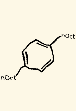 [CH2]CCCCCCCc1ccc(CCCCCCCC)cc1